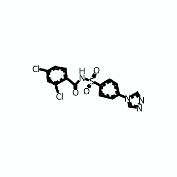 O=C(NS(=O)(=O)c1ccc(-n2cnnc2)cc1)c1ccc(Cl)cc1Cl